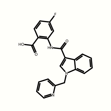 O=C(O)c1ccc(F)cc1NC(=O)c1cn(Cc2ccccn2)c2ccccc12